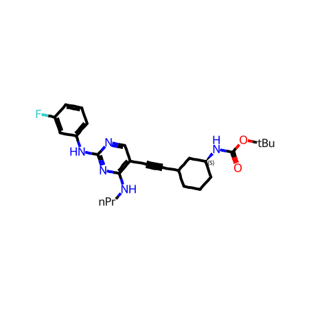 CCCNc1nc(Nc2cccc(F)c2)ncc1C#CC1CCC[C@H](NC(=O)OC(C)(C)C)C1